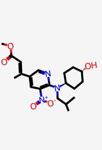 COC(=O)/C=C(\C)c1cnc(N(CC(C)C)[C@H]2CC[C@H](O)CC2)c([N+](=O)[O-])c1